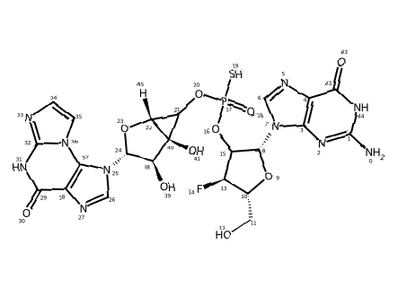 Nc1nc2c(ncn2[C@@H]2O[C@H](CO)[C@@H](F)C2OP(=O)(S)OC2[C@H]3O[C@@H](n4cnc5c(=O)[nH]c6nccn6c54)[C@H](O)[C@@]23O)c(=O)[nH]1